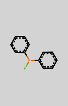 FP(c1ccccc1)c1ccccc1